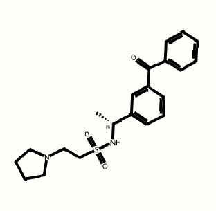 C[C@@H](NS(=O)(=O)CCN1CCCC1)c1cccc(C(=O)c2ccccc2)c1